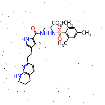 Cc1cc(C)c(S(=O)(=O)NC(CNC(=O)c2cc(CCc3ccc4c(n3)NCCC4)c[nH]2)C(=O)O)c(C)c1